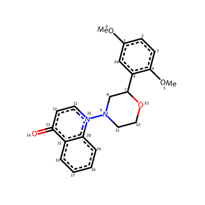 COc1ccc(OC)c(C2CN(n3ccc(=O)c4ccccc43)CCO2)c1